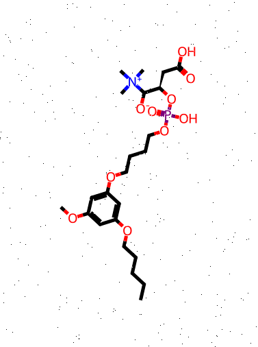 CCCCCOc1cc(OC)cc(OCCCCOP(=O)(O)O[C@H](CC(=O)O)C([O-])[N+](C)(C)C)c1